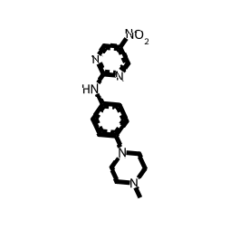 CN1CCN(c2ccc(Nc3ncc([N+](=O)[O-])cn3)cc2)CC1